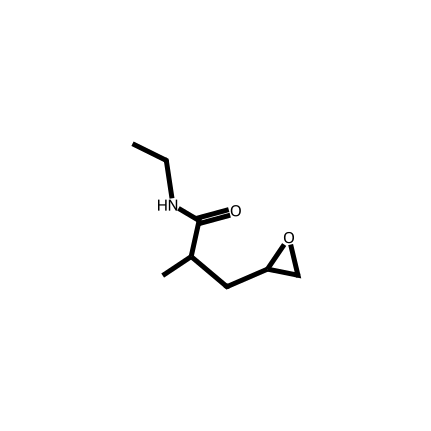 CCNC(=O)C(C)CC1CO1